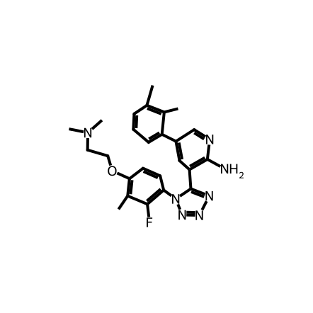 Cc1cccc(-c2cnc(N)c(-c3nnnn3-c3ccc(OCCN(C)C)c(C)c3F)c2)c1C